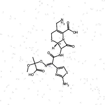 COC(C)(O/N=C(\C(=O)NC1C(=O)N2C(C(=O)O)=C(CN)CS[C@@H]12)c1csc(N)n1)C(=O)O